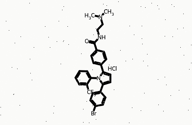 CN(C)CCNC(=O)c1ccc(-c2ccc(-c3ccc(Br)cc3)n2-c2ccccc2C(F)(F)F)cc1.Cl